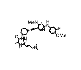 CNc1nc(Nc2ccc(OC)c(F)c2)ncc1C#C[C@@H]1CCC[C@H](NC(=O)C(C)N(C)C(=O)C=CCN(C)C)C1